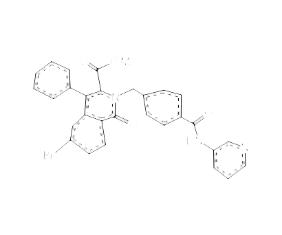 COC(=O)c1c(-c2ccccc2)c2cc(Br)ccc2c(=O)n1Cc1ccc(C(=O)Nc2cccnc2)cc1